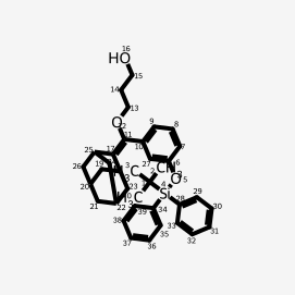 CC(C)(C)[Si](Oc1cccc(C(OCCCO)=C2C3CC4CC(C3)CC2C4)c1)(c1ccccc1)c1ccccc1